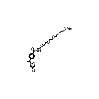 CCc1cnn(C(C)c2ccc(C(=O)NCCOCCOCCOCCOCCNC)cc2)c1